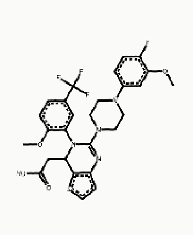 COc1cc(N2CCN(C3=Nc4ccsc4C(CC(=O)O)N3c3cc(C(F)(F)F)ccc3OC)CC2)ccc1F